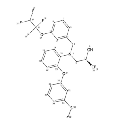 O[C@H](CN(Cc1cccc(OC(F)(F)C(F)F)c1)c1ccccc1Oc1cccc(SC(F)(F)F)c1)C(F)(F)F